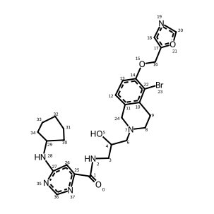 O=C(NCC(O)CN1CCc2c(ccc(OCc3cnco3)c2Br)C1)c1cc(NC2CCCCC2)ncn1